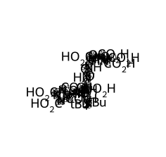 CC(C)(C)[Si](F)(c1ccc(C(=O)N[C@H](CNC(=O)CC[C@@H](C(=O)O)N2CCN(CC(=O)O)CCN(CC(=O)O)CCN(CC(=O)O)CC2)C(=O)N[C@H](CCCCNC(=O)CCC(=O)NCCC[C@H](NC(=O)CC[C@H](NC(=O)N[C@@H](CCC(=O)O)C(=O)O)C(=O)O)C(=O)O)C(=O)O)cc1)C(C)(C)C